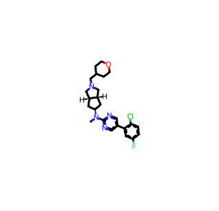 CN(c1ncc(-c2cc(F)ccc2Cl)cn1)[C@H]1C[C@@H]2CN(CC3CCOCC3)C[C@@H]2C1